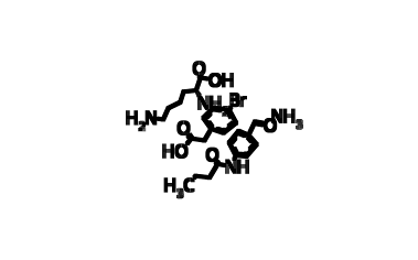 CCCC(=O)Nc1ccc(C=O)cc1.N.NCCCC[C@H](N)C(=O)O.O=C(O)Cc1ccc(Br)cc1